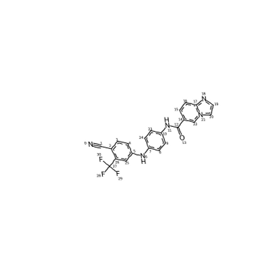 N#Cc1ccc(Nc2ccc(NC(=O)c3ccc4nccn4c3)cc2)cc1C(F)(F)F